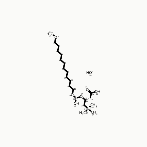 COCCCCCCCCCCCCOP(O)O[C@H](CC(=O)O)C[N+](C)(C)C.[OH-]